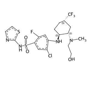 CN(CCO)[C@H]1C[C@@H](C(F)(F)F)CC[C@@H]1Nc1cc(F)c(S(=O)(=O)Nc2nccs2)cc1Cl